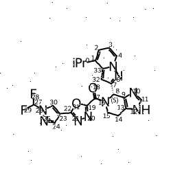 CC(C)c1cccn2nc([C@@H]3c4nc[nH]c4CCN3C(=O)c3nnc(-c4cnn(C(F)F)c4)o3)cc12